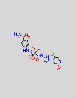 COc1cc(-n2ccc(N3CCO[C@H]([C@@](C)(O)C(=O)Nc4ccc5c(N)noc5c4)C3=O)n2)c(Cl)cn1